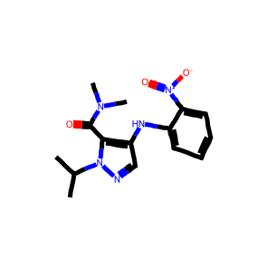 CC(C)n1ncc(Nc2ccccc2[N+](=O)[O-])c1C(=O)N(C)C